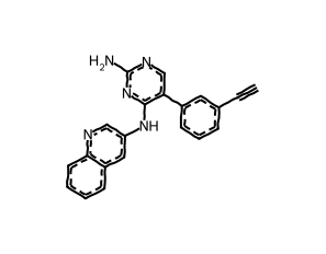 C#Cc1cccc(-c2cnc(N)nc2Nc2cnc3ccccc3c2)c1